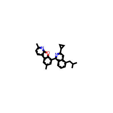 Cc1cc(-c2nc(C3CC3)cc3c(CC(C)C)cccc23)c2oc3nc(C)ccc3c2c1